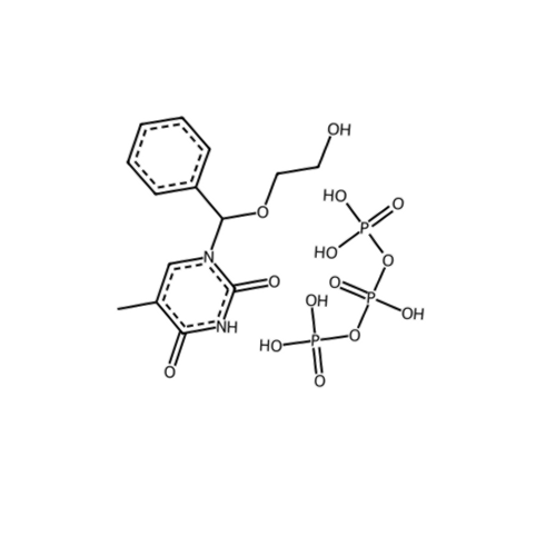 Cc1cn(C(OCCO)c2ccccc2)c(=O)[nH]c1=O.O=P(O)(O)OP(=O)(O)OP(=O)(O)O